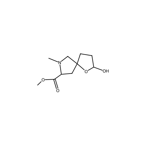 COC(=O)C1CC2(CCC(O)O2)CN1C